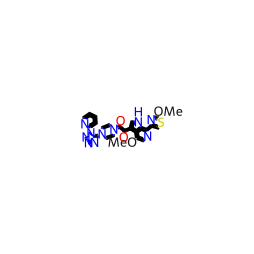 COc1nc(-c2ncc(OC)c3c(C(=O)C(=O)N4CCN(c5nnnn5-c5ccccn5)CC4)c[nH]c23)cs1